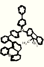 CC1(C)c2ccccc2-c2ccc(N(c3ccc(-c4ccccc4)cc3)c3ccc(-c4ccccc4C4=C(c5ccccc5Br)C(c5ccccc5)CC=C4)cc3)cc21